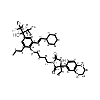 CCCc1cc(C(O)(C(F)(F)F)C(F)(F)F)cc(C=CC2CCCCC2)c1OCCCCN1C(=O)NC(CC)(c2ccc3c(c2)OCCO3)C1=O